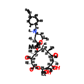 C#Cc1ccc(CN(C)[C@H]2C[C@@H](C)O[C@@H](O[C@@H]3[C@@H](C)C(=O)[C@@H](C)C(=O)O[C@H](CC)[C@@](C)(O)[C@H](O)[C@@H](C)C(=O)[C@H](C)C[C@@]3(C)OC)[C@@H]2C)cc1